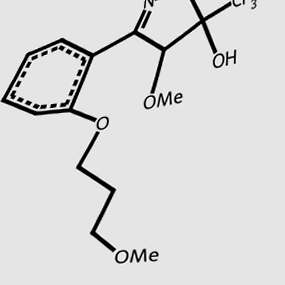 COCCCOc1ccccc1C1=NOC(O)(C(F)(F)F)C1OC